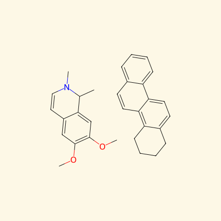 COc1cc2c(cc1OC)C(C)N(C)C=C2.c1ccc2c(c1)ccc1c3c(ccc12)CCCC3